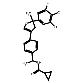 CC(NC(=O)C1CC1)c1ccc(C2=COC(c3cc(Cl)c(Cl)c(Cl)c3)(C(F)(F)F)C2)cc1